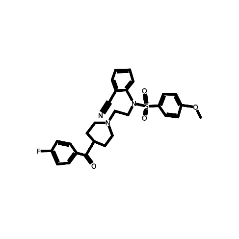 COc1ccc(S(=O)(=O)N(CCN2CCC(C(=O)c3ccc(F)cc3)CC2)c2ccccc2C#N)cc1